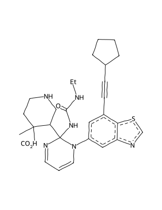 CCNC(=O)NC1(C2CNCCC2(C)C(=O)O)N=CC=CN1c1cc(C#CC2CCCC2)c2scnc2c1